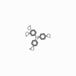 COc1ccc(N(c2ccc(OC)cc2)c2ccc(OC)c(OC)c2)cc1